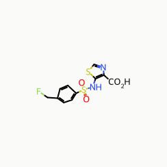 O=C(O)c1ncsc1NS(=O)(=O)c1ccc(CF)cc1